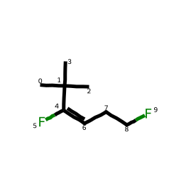 CC(C)(C)/C(F)=C\CCF